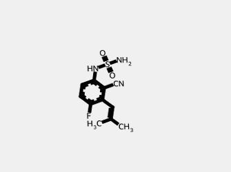 CC(C)=Cc1c(F)ccc(NS(N)(=O)=O)c1C#N